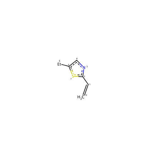 C=Cc1ncc(CC)s1